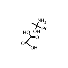 CC(C)C(C)(N)O.O=C(O)C(=O)O